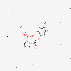 O=C(O)[C@@H]1CCCN1C(=O)COc1ccc(Cl)cc1